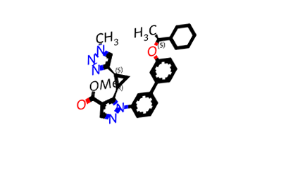 COC(=O)c1cnn(-c2cccc(-c3cccc(O[C@@H](C)C4CCCCC4)c3)c2)c1[C@@H]1C[C@@H]1c1cn(C)nn1